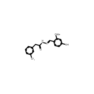 COc1cc(O)ccc1/C=N/NC(=O)Cc1cccc(C(F)(F)F)c1